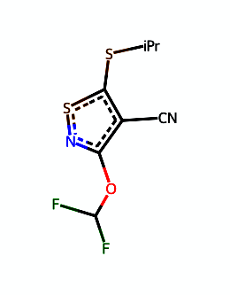 CC(C)Sc1snc(OC(F)F)c1C#N